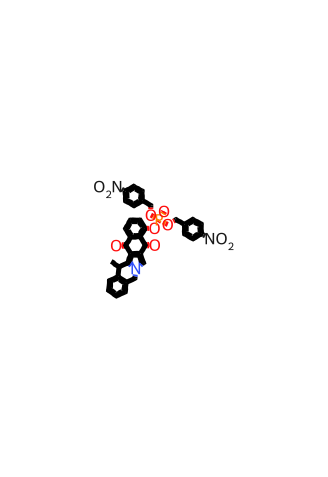 CC1c2ccccc2Cn2cc3c(c21)C(=O)c1cccc(OP(=O)(OCc2ccc([N+](=O)[O-])cc2)OCc2ccc([N+](=O)[O-])cc2)c1C3=O